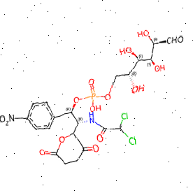 O=C[C@H](O)[C@@H](O)[C@H](O)[C@H](O)COP(=O)(O)O[C@H](c1ccc([N+](=O)[O-])cc1)[C@H](NC(=O)C(Cl)Cl)C1OC(=O)CCC1=O